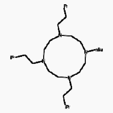 CCCCN1CCN(CCC(C)C)CCN(CCC(C)C)CCN(CCC(C)C)CC1